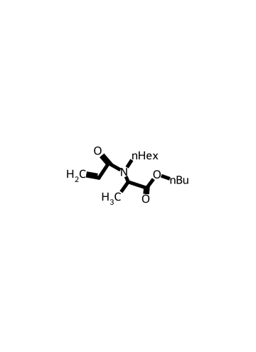 C=CC(=O)N(CCCCCC)C(C)C(=O)OCCCC